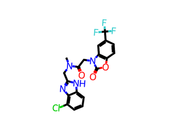 CN(Cc1nc2c(Cl)cccc2[nH]1)C(=O)Cn1c(=O)oc2ccc(C(F)(F)F)cc21